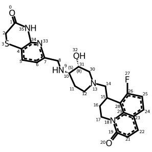 O=C1CSc2ccc(CN[C@H]3CCN(CC4CCn5c(=O)ccc6ccc(F)c4c65)C[C@H]3O)nc2N1